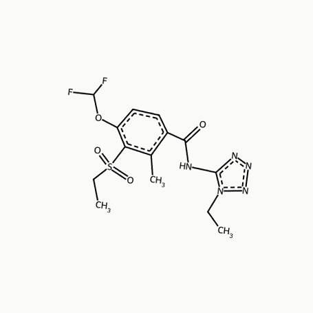 CCn1nnnc1NC(=O)c1ccc(OC(F)F)c(S(=O)(=O)CC)c1C